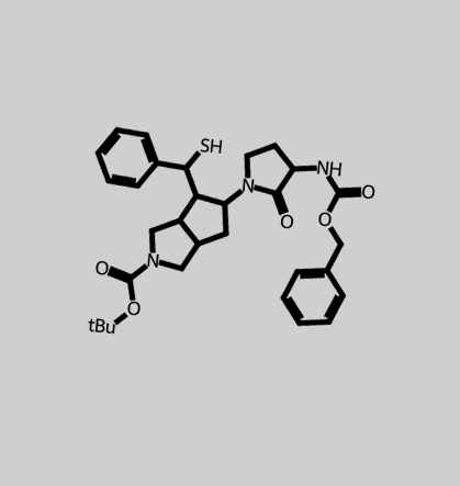 CC(C)(C)OC(=O)N1CC2CC(N3CCC(NC(=O)OCc4ccccc4)C3=O)C(C(S)c3ccccc3)C2C1